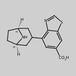 O=C(O)c1cc(C2C[C@H]3CC[C@@H](C2)N3)c2ncsc2c1